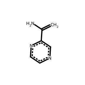 C=C(N)c1cnccn1